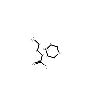 C1CNCCN1.CCCCC(=O)O